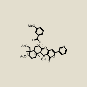 COc1cccc(C(=O)O[C@H]2CC3C(C)(COC(C)=O)[C@@H](OC(C)=O)CC[C@]3(C)C3[C@@H](O)c4c(cc(-c5cccnc5)oc4=O)O[C@@]32C)c1